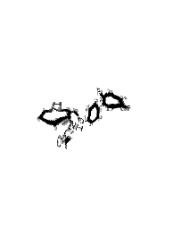 C[S+]([O-])N[C@H]1CCCN[C@H]1CO[C@H]1CC[C@@H](c2cc(F)ccc2F)CC1